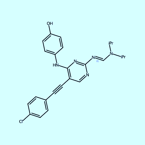 CC(C)N(/C=N/c1ncc(C#Cc2ccc(Cl)cc2)c(Nc2ccc(O)cc2)n1)C(C)C